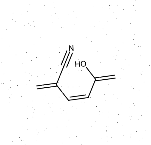 C=C(O)/C=C\C(=C)C#N